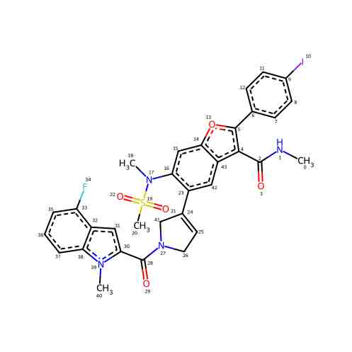 CNC(=O)c1c(-c2ccc(I)cc2)oc2cc(N(C)S(C)(=O)=O)c(C3=CCN(C(=O)c4cc5c(F)cccc5n4C)C3)cc12